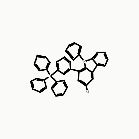 Clc1cc(-c2cccc([Si](c3ccccc3)(c3ccccc3)c3ccccc3)c2)c2c(c1)c1ccccc1n2-c1ccccc1